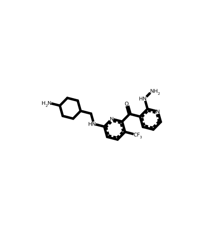 NNc1ncccc1C(=O)c1nc(NCC2CCC(N)CC2)ccc1C(F)(F)F